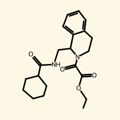 CCOC(=O)C(=O)N1CCc2ccccc2C1CNC(=O)C1CCCCC1